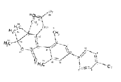 Cc1cc(-c2ccc(Cl)cc2)cc(C)c1C1=C(OC(=O)C(C)C)C(C)(C)C(C)(C)OC1=O